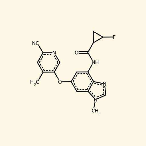 Cc1cc(C#N)ncc1Oc1cc(NC(=O)C2CC2F)c2ncn(C)c2c1